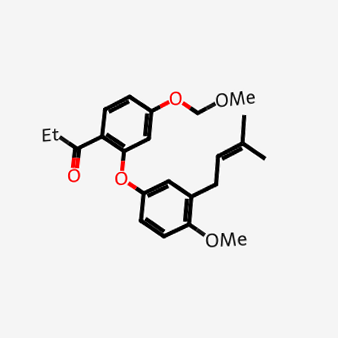 CCC(=O)c1ccc(OCOC)cc1Oc1ccc(OC)c(CC=C(C)C)c1